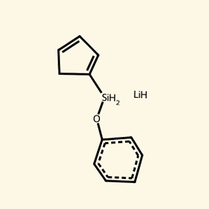 C1=CCC([SiH2]Oc2ccccc2)=C1.[LiH]